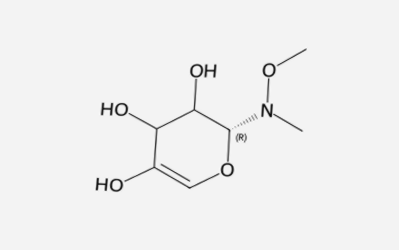 CON(C)[C@@H]1OC=C(O)C(O)C1O